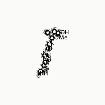 COc1cc(N2CCC3(CC2)C[C@@H](CN2CCN4c5cc6c(cc5OC[C@@H]4C2)C(=O)C([C@H]2CCC(=O)NC2=O)C6)CO3)ccc1[C@@H]1c2ccc(O)cc2CC[C@@H]1c1ccccc1